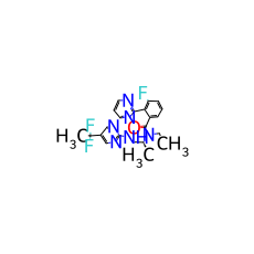 CCN(C(=O)c1cccc(F)c1-c1ncccn1)[C@@H](C)CNc1ncc(C(C)(F)F)cn1